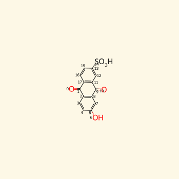 O=C1c2ccc(O)cc2C(=O)c2cc(S(=O)(=O)O)ccc21